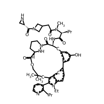 CCn1c(-c2cccnc2C(C)C)c2c3cc(ccc31)-c1cc(O)cc(c1)C[C@H](NC(=O)[C@H](C(C)C)N(C)C(=O)CC1CN(C(=O)[C@@H]3CN3)C1)C(=O)N1CCC[C@H](N1)C(=O)OCC(C)(C)C2